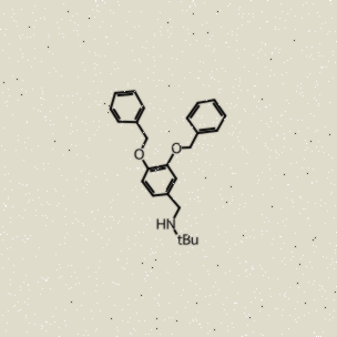 CC(C)(C)NCc1ccc(OCc2ccccc2)c(OCc2ccccc2)c1